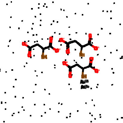 O=C([O-])CC(S)C(=O)[O-].O=C([O-])CC(S)C(=O)[O-].O=C([O-])CC(S)C(=O)[O-].[Au+3].[Au+3]